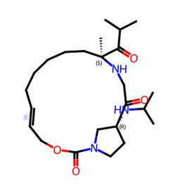 CC(C)N[C@]12CCN(C1)C(=O)OC/C=C/CCCCC[C@@](C)(C(=O)C(C)C)NCC2=O